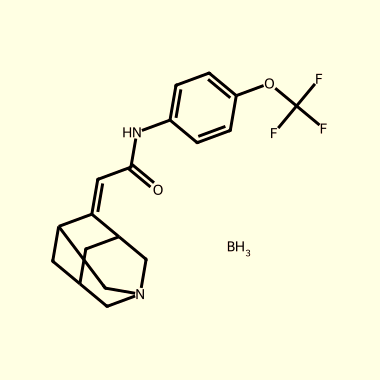 B.O=C(C=C1C2CC3CC1CN(C3)C2)Nc1ccc(OC(F)(F)F)cc1